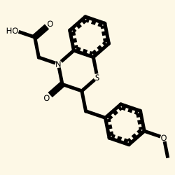 COc1ccc(CC2Sc3ccccc3N(CC(=O)O)C2=O)cc1